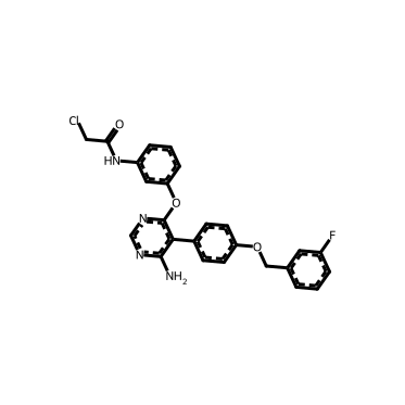 Nc1ncnc(Oc2cccc(NC(=O)CCl)c2)c1-c1ccc(OCc2cccc(F)c2)cc1